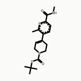 CNC(=O)c1ccc(C2=CCN(C(=O)OC(C)(C)C)CC2)c(C)n1